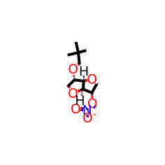 CC(C)(C)CO[C@H]1CO[C@H]2[C@@H]1OC[C@H]2O[N+](=O)[O-]